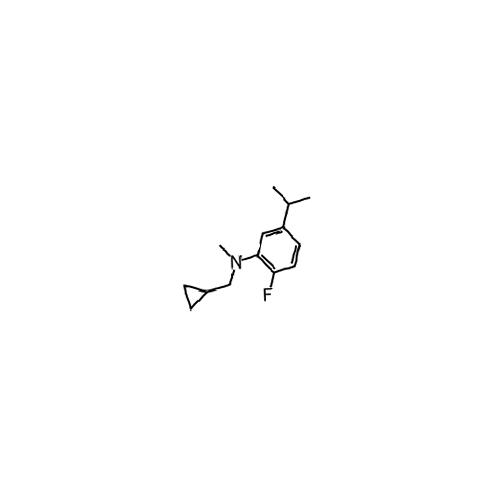 CC(C)c1ccc(F)c(N(C)CC2CC2)c1